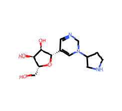 OC[C@H]1O[C@@H](C2=CN(C3CCNC3)CN=C2)[C@H](O)[C@@H]1O